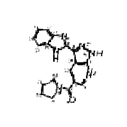 O=C(c1cnc2[nH]nc(-c3nc4ccccc4[nH]3)c2c1)N1CCCC1